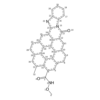 CONC(=O)c1cc2ccc3cc4c(=O)n5c6ccccc6nc5c5cc6ccc7cc(C)c1c1c2c3c(c45)c6c71